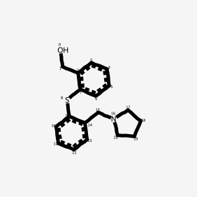 OCc1ccccc1Sc1ccccc1CN1CCCC1